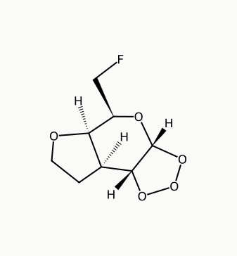 FC[C@H]1O[C@@H]2OOO[C@@H]2[C@H]2CCO[C@H]21